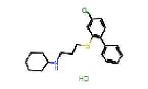 Cl.Clc1ccc(-c2ccccc2)c(SCCCNC2CCCCC2)c1